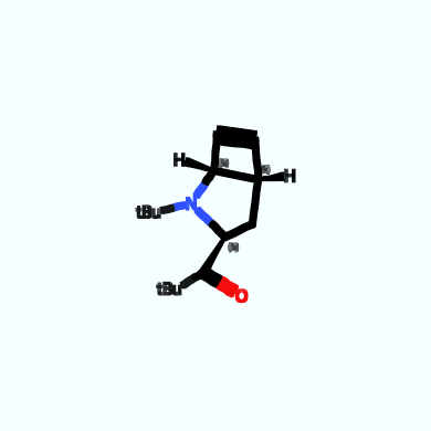 CC(C)(C)C(=O)[C@@H]1C[C@H]2C#C[C@H]2N1C(C)(C)C